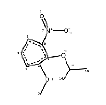 COc1cccc([N+](=O)[O-])c1OC(C)C